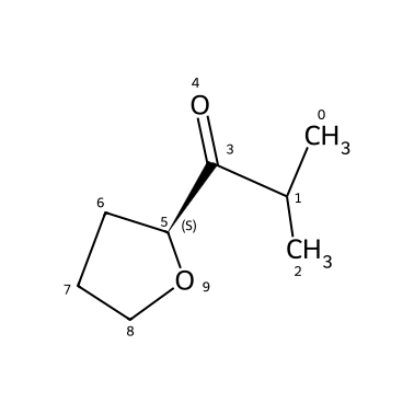 CC(C)C(=O)[C@@H]1CCCO1